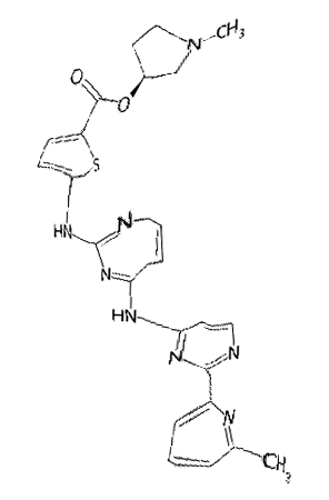 Cc1cccc(-c2nccc(Nc3ccnc(Nc4ccc(C(=O)O[C@H]5CCN(C)C5)s4)n3)n2)n1